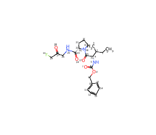 CCC(C)[C@H](NC(=O)OCc1ccccc1)C(=O)N1CCC[C@H]1C(=O)NCC(=O)CF